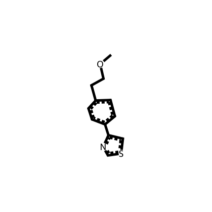 COCCc1ccc(-c2cscn2)cc1